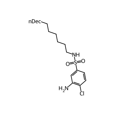 CCCCCCCCCCCCCCCCNS(=O)(=O)c1ccc(Cl)c(N)c1